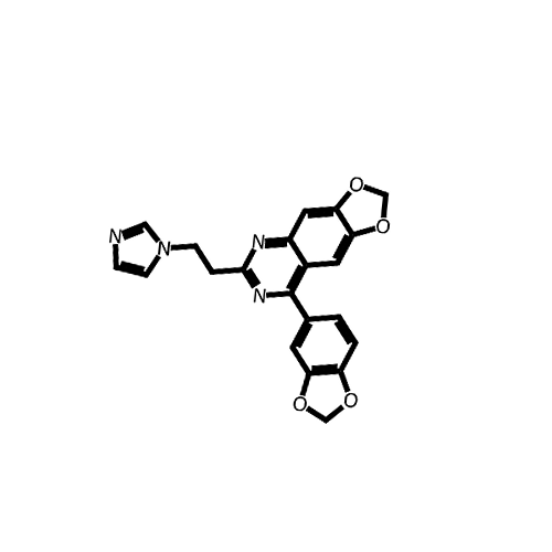 c1cn(CCc2nc(-c3ccc4c(c3)OCO4)c3cc4c(cc3n2)OCO4)cn1